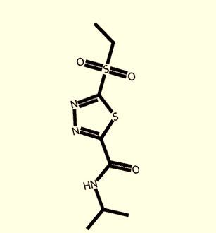 CCS(=O)(=O)c1nnc(C(=O)NC(C)C)s1